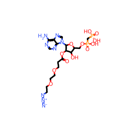 [N-]=[N+]=NCCOCCOCCC(=O)OC1C(O)C(COP(=O)(O)CP(=O)(O)O)OC1n1cnc2c(N)ncnc21